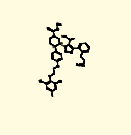 CC(=O)NCCc1ccccc1-c1onc([C@H]2CN(C(=O)OC(C)(C)C)CC[C@@H]2c2ccc(OCCOc3c(Cl)cc(C)cc3Cl)cc2)c1C(C)O